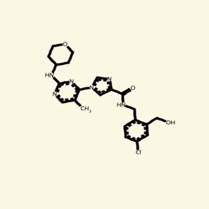 Cc1cnc(NC2CCOCC2)nc1-n1cnc(C(=O)NCc2ccc(Cl)cc2CO)c1